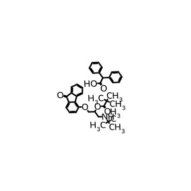 CC(C)(C)NCC(COc1cccc2c1-c1ccccc1C2=O)OC(=O)C(C)(C)C.O=C(O)C(c1ccccc1)c1ccccc1